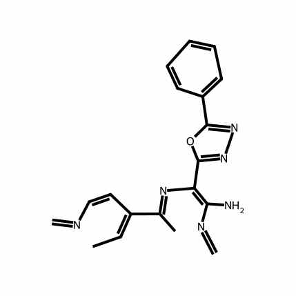 C=N\C=C/C(=C\C)C(/C)=N/C(=C(/N)N=C)c1nnc(-c2ccccc2)o1